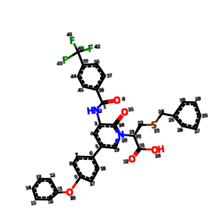 O=C(Nc1cc(-c2ccc(Oc3ccccc3)cc2)cn([C@@H](CSCc2ccccc2)C(=O)O)c1=O)c1ccc(C(F)(F)F)cc1